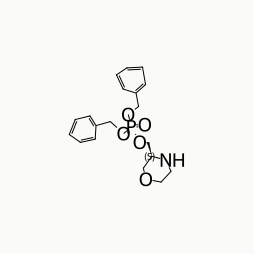 O=P(OCc1ccccc1)(OCc1ccccc1)OC[C@@H]1COCCN1